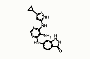 Nc1c(Nc2ccc3c(c2)N[N]C3=O)ncnc1Nc1cc(C2CC2)n[nH]1